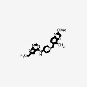 COc1cnc2c(C)c(CN3CCC(Nc4ncnc5sc(CC(F)(F)F)cc45)CC3)ccc2n1